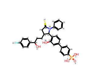 O=P(O)(O)c1ccc(-c2ccc(C3C(CCC(O)c4ccc(F)cc4)CC(=S)N3c3ccccc3)c(O)c2)cc1